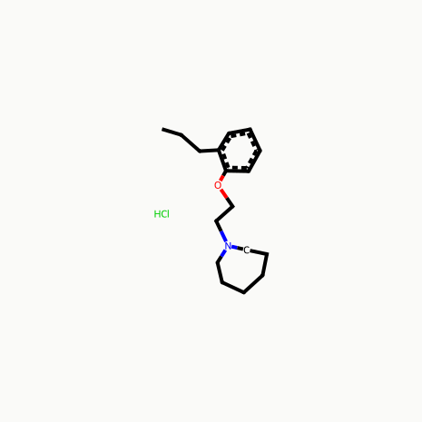 CCCc1ccccc1OCCN1CCCCCC1.Cl